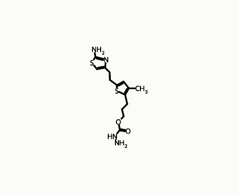 Cc1cc(CCc2csc(N)n2)sc1CCCOC(=O)NN